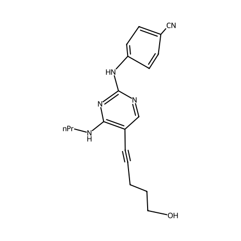 CCCNc1nc(Nc2ccc(C#N)cc2)ncc1C#CCCCO